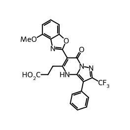 COc1cccc2oc(-c3c(CCC(=O)O)[nH]c4c(-c5ccccc5)c(C(F)(F)F)nn4c3=O)nc12